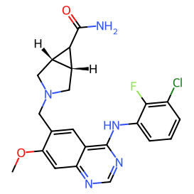 COc1cc2ncnc(Nc3cccc(Cl)c3F)c2cc1CN1C[C@@H]2C(C(N)=O)[C@@H]2C1